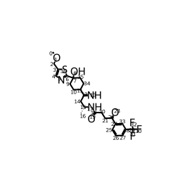 COCc1cnc(C2(O)CCC(C(=N)C[C@@H](C)NC(=O)CCC(=O)c3cccc(C(F)(F)F)c3)CC2)s1